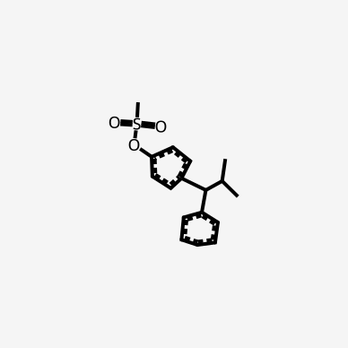 CC(C)C(c1ccccc1)c1ccc(OS(C)(=O)=O)cc1